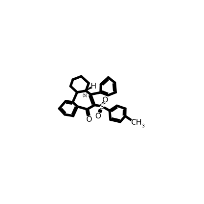 Cc1ccc(S(=O)(=O)C2=C(c3ccccc3)[C@H]3CCCCC3c3ccccc3C2=O)cc1